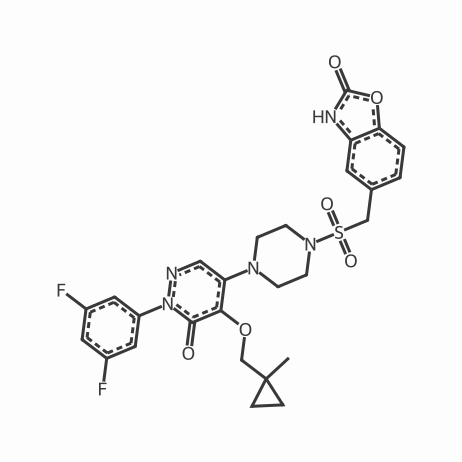 CC1(COc2c(N3CCN(S(=O)(=O)Cc4ccc5oc(=O)[nH]c5c4)CC3)cnn(-c3cc(F)cc(F)c3)c2=O)CC1